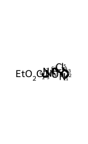 CCOC(=O)c1ccn(-c2ccc(-c3ncccc3Cl)o2)n1